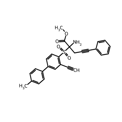 C#Cc1cc(-c2ccc(C)cc2)ccc1S(=O)(=O)C(N)(CC#Cc1ccccc1)C(=O)OC